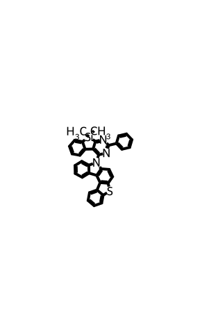 C[Si]1(C)c2ccccc2-c2c(-n3c4ccccc4c4c5c(ccc43)sc3ccccc35)nc(-c3ccccc3)nc21